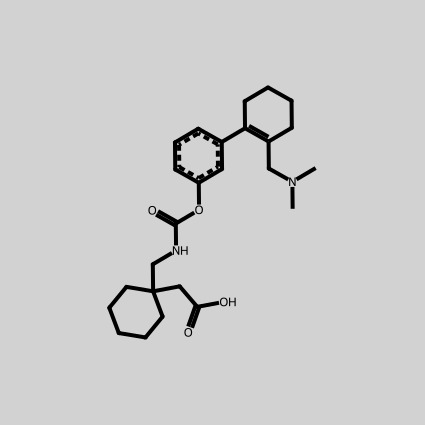 CN(C)CC1=C(c2cccc(OC(=O)NCC3(CC(=O)O)CCCCC3)c2)CCCC1